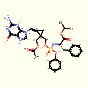 CCC(CC)OC(=O)[C@H](Cc1ccccc1)NP(=O)(OCC1(COC(=O)C(C)C)C/C1=C/n1cnc2c(=O)[nH]c(N)nc21)Oc1ccccc1